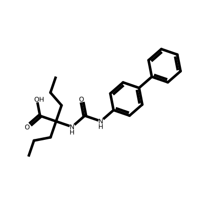 CCCC(CCC)(NC(=O)Nc1ccc(-c2ccccc2)cc1)C(=O)O